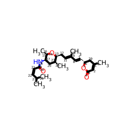 CC1=CC(=O)O[C@H](/C=C/C(C)=C/C[C@@H]2O[C@H](C)[C@H](NC(=O)/C=C\C(C)C)C[C@@H]2C)C1